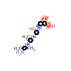 Cc1cc(N=Nc2ccc(N=Nc3ccc(-n4nc5ccc6c(S(=O)(=O)O)cc(S(=O)(=O)O)cc6c5n4)c(O)c3)c(C)c2)c(C)cc1N